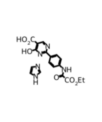 CCOC(=O)C(=O)Nc1ccc(-c2ncc(C(=O)O)c(O)n2)cc1.c1c[nH]cn1